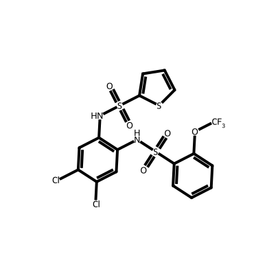 O=S(=O)(Nc1cc(Cl)c(Cl)cc1NS(=O)(=O)c1ccccc1OC(F)(F)F)c1cccs1